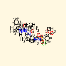 CNC(C(=O)NC(C(=O)N(C)C(/C=C(\C)C(=O)NS(=O)(=O)c1cc(C(=O)OC)ccc1Cl)C(C)C)C(C)(C)C)C(C)(C)c1ccccc1